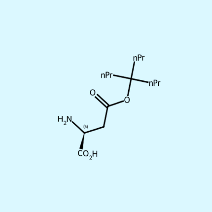 CCCC(CCC)(CCC)OC(=O)C[C@H](N)C(=O)O